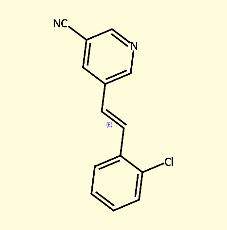 N#Cc1cncc(/C=C/c2ccccc2Cl)c1